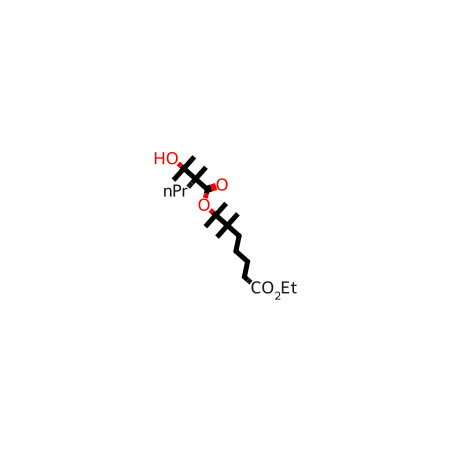 CCCC(C)(C(=O)OC(C)(C)C(C)(C)CCCCC(=O)OCC)C(C)(C)O